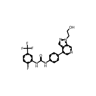 O=C(Nc1ccc(-c2cncc3c2cnn3CCO)cc1)Nc1cc(C(F)(F)F)ccc1F